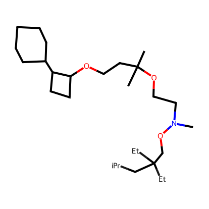 CCC(CC)(CON(C)CCOC(C)(C)CCOC1CCC1C1CCCCC1)CC(C)C